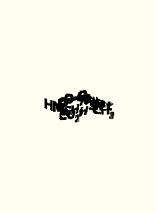 CCOc1nc(-c2ccc(OCCCOc3ccc4[nH]cc(C(C)C(=O)O)c4c3)nc2)sc1C